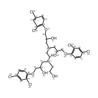 OCCN(CCN(CC(O)COc1ccc(Cl)cc1Cl)CC(O)COc1ccc(Cl)cc1Cl)CC(O)COc1ccc(Cl)cc1Cl